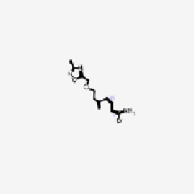 C=C(/C=C\C=C(/N)Br)CCOCc1nc(C)no1